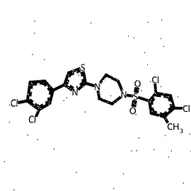 Cc1cc(S(=O)(=O)N2CCN(c3nc(-c4ccc(Cl)c(Cl)c4)cs3)CC2)c(Cl)cc1Cl